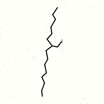 CCCCCCCCC([CH]I)CCCCCC